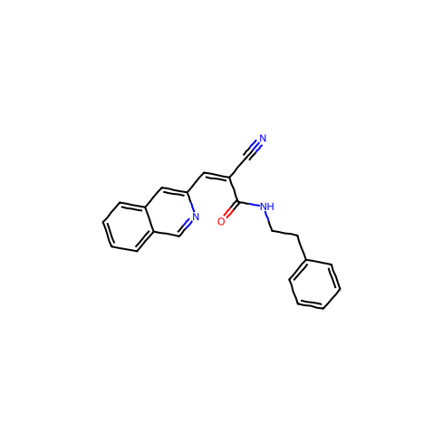 N#CC(=Cc1cc2ccccc2cn1)C(=O)NCCc1ccccc1